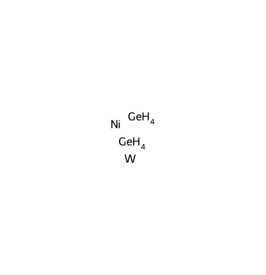 [GeH4].[GeH4].[Ni].[W]